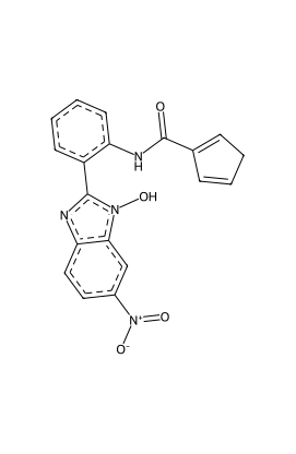 O=C(Nc1ccccc1-c1nc2ccc([N+](=O)[O-])cc2n1O)C1=CCC=C1